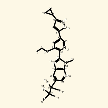 CCSc1cc(-c2cc(C3CC3)no2)cnc1-c1nc2cc(C(F)(F)C(F)(F)F)cnc2n1C